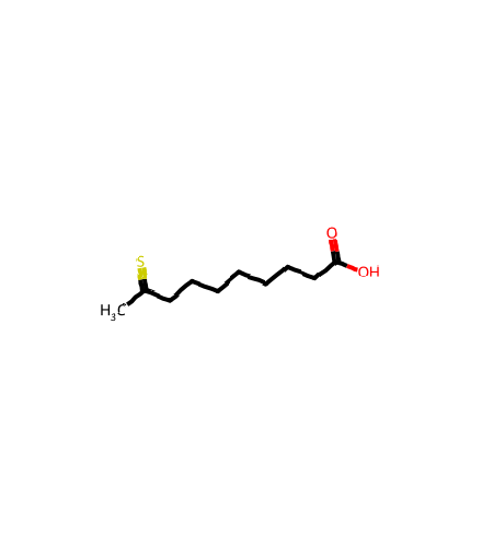 CC(=S)CCCCCCCC(=O)O